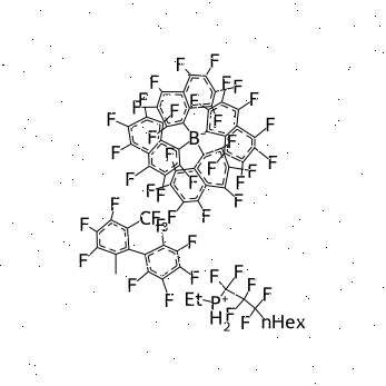 CCCCCCC(F)(F)C(F)(F)C(F)(F)[PH2+]CC.Cc1c(F)c(F)c(F)c(C(F)(F)F)c1-c1c(F)c(F)c(F)c(F)c1F.Fc1c(F)c(F)c2c([B-](c3c(F)c(F)c(F)c4c(F)c(F)c(F)c(F)c34)(c3c(F)c(F)c(F)c4c(F)c(F)c(F)c(F)c34)c3c(F)c(F)c(F)c4c(F)c(F)c(F)c(F)c34)c(F)c(F)c(F)c2c1F